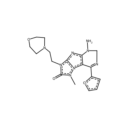 Cn1c(=O)n(CCN2CCOCC2)c2nc3c(n21)C(c1ccco1)=NCN3N